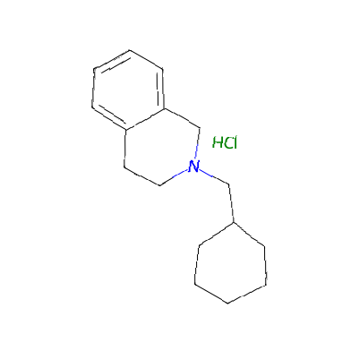 Cl.c1ccc2c(c1)CCN(CC1CCCCC1)C2